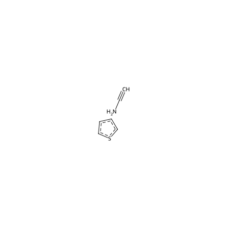 C#CN.c1ccsc1